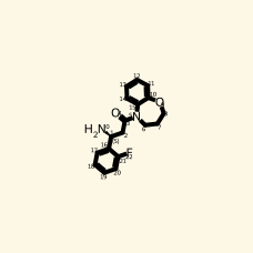 N[C@@H](CC(=O)N1CCCOc2ccccc21)c1ccccc1F